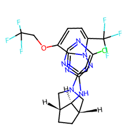 FC(F)(F)COc1ccc(C(F)(F)F)n2nc(N[C@@H]3[C@@H]4CC[C@H]3CN(c3cc(Cl)ncn3)C4)nc12